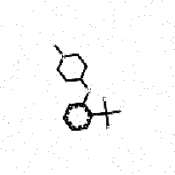 [CH2]N1CCC(Oc2ccccc2C(F)(F)F)CC1